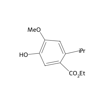 CCOC(=O)c1cc(O)c(OC)cc1C(C)C